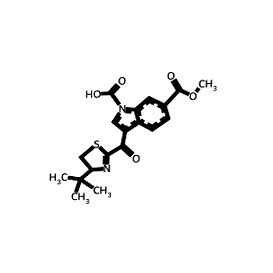 COC(=O)c1ccc2c(C(=O)C3=NC(C(C)(C)C)CS3)cn(C(=O)O)c2c1